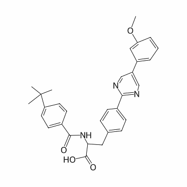 COc1cccc(-c2cnc(-c3ccc(CC(NC(=O)c4ccc(C(C)(C)C)cc4)C(=O)O)cc3)nc2)c1